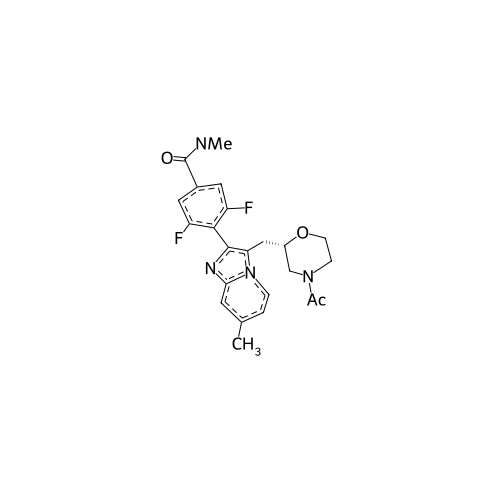 CNC(=O)c1cc(F)c(-c2nc3cc(C)ccn3c2C[C@H]2CN(C(C)=O)CCO2)c(F)c1